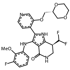 COc1c(F)cccc1Nc1c(-c2ccncc2OC[C@H]2COCCO2)[nH]c2c1C(=O)NC[C@@H]2C(F)F